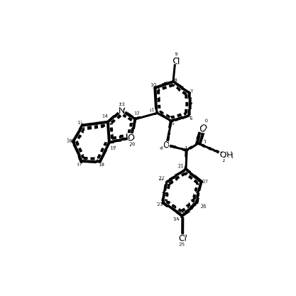 O=C(O)C(Oc1ccc(Cl)cc1-c1nc2ccccc2o1)c1ccc(Cl)cc1